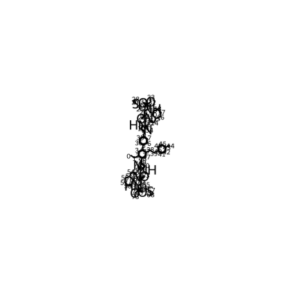 CCc1cc(-c2ccc(-c3c[nH]c([C@@H]4CC5CCCCC5N4C(=O)[C@H](CCSC)NC(=O)OC)n3)cc2)c(CCc2ccc(C)cc2)cc1-c1c[nH]c([C@@H]2CC3CCCCC3N2C(=O)[C@H](CCSC)NC(=O)OC)n1